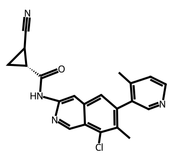 Cc1ccncc1-c1cc2cc(NC(=O)[C@@H]3CC3C#N)ncc2c(Cl)c1C